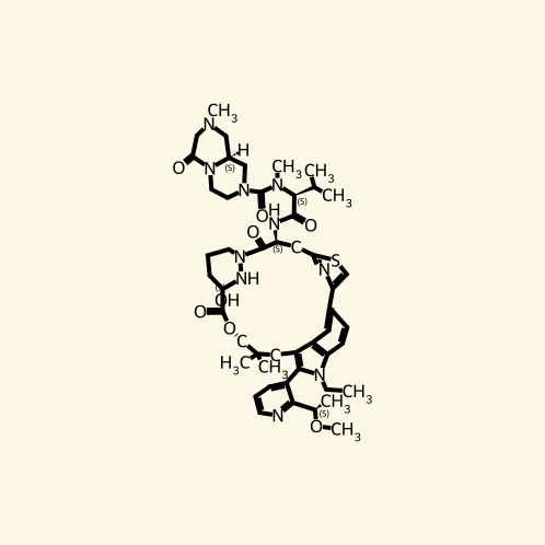 CCn1c(-c2cccnc2[C@H](C)OC)c2c3cc(ccc31)-c1csc(n1)C[C@H](NC(=O)[C@H](C(C)C)N(C)C(=O)N1CCN3C(=O)CN(C)C[C@H]3C1)C(=O)N1CCC[C@@](O)(N1)C(=O)OCC(C)(C)C2